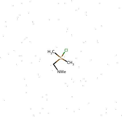 CNCS(C)(C)Cl